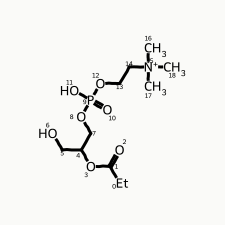 CCC(=O)OC(CO)COP(=O)(O)OCC[N+](C)(C)C